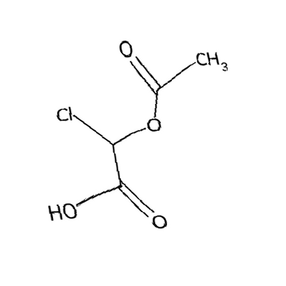 CC(=O)OC(Cl)C(=O)O